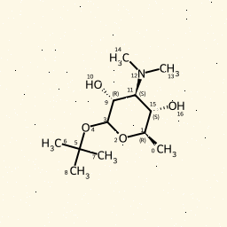 C[C@H]1OC(OC(C)(C)C)[C@H](O)[C@@H](N(C)C)[C@@H]1O